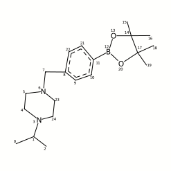 CC(C)N1CCN(Cc2ccc(B3OC(C)(C)C(C)(C)O3)cc2)CC1